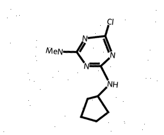 CNc1nc(Cl)nc(NC2CCCC2)n1